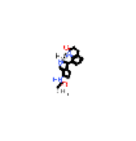 CCC(=O)N[C@@H]1CCc2c(-c3cccc4c3N(C)C(=O)CC4)cncc21